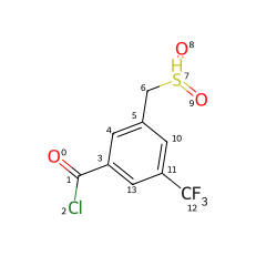 O=C(Cl)c1cc(C[SH](=O)=O)cc(C(F)(F)F)c1